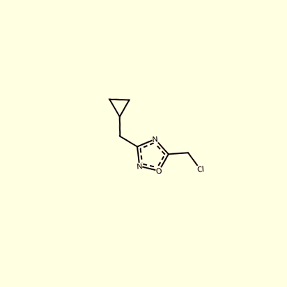 ClCc1nc(CC2CC2)no1